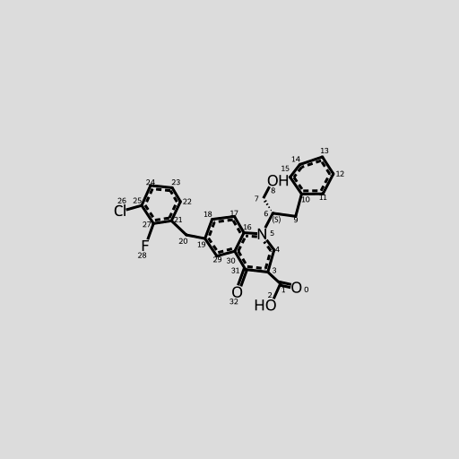 O=C(O)c1cn([C@H](CO)Cc2ccccc2)c2ccc(Cc3cccc(Cl)c3F)cc2c1=O